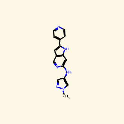 Cn1cc(Nc2cc3[nH]c(-c4ccncc4)cc3cn2)cn1